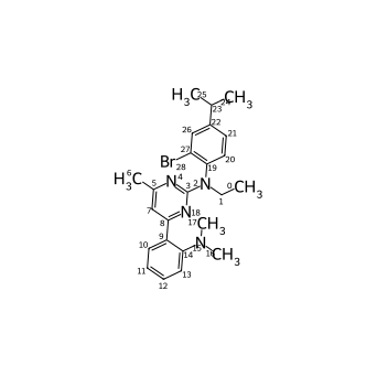 CCN(c1nc(C)cc(-c2ccccc2N(C)C)n1)c1ccc(C(C)C)cc1Br